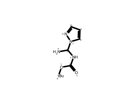 CC(C)(C)OC(=O)NC(N)n1cccn1